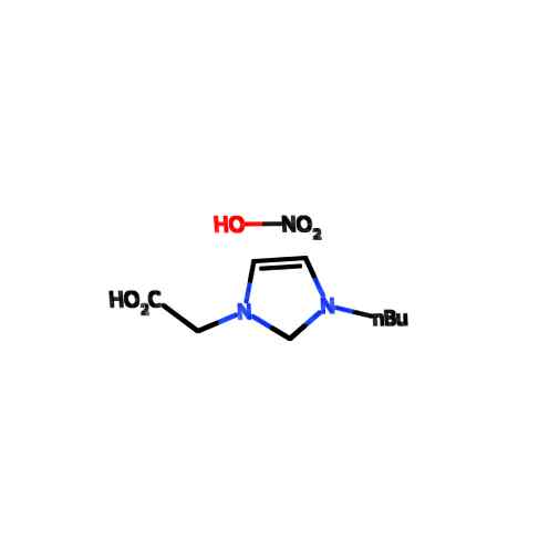 CCCCN1C=CN(CC(=O)O)C1.O=[N+]([O-])O